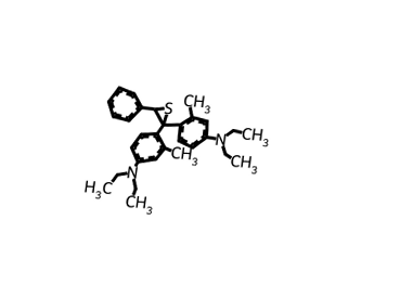 CCN(CC)c1ccc(C2(c3ccc(N(CC)CC)cc3C)SC2c2ccccc2)c(C)c1